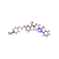 N#CB1CCC(CCOc2cccc(C(=O)N3CCN(C(=O)Nc4ccccc4)CC3)c2)CC1